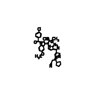 COC(=O)[C@@H](c1c(C)n(C(=O)c2ccc(Cl)cc2)c2ccc(OC)cc12)n1ccc2c(-c3cnn([C@H](CC#N)C4CCCC4)c3)ncnc21